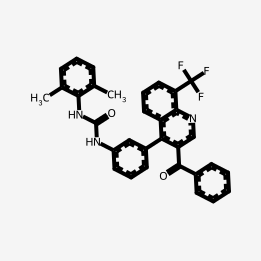 Cc1cccc(C)c1NC(=O)Nc1cccc(-c2c(C(=O)c3ccccc3)cnc3c(C(F)(F)F)cccc23)c1